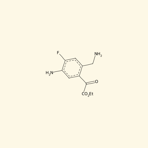 CCOC(=O)C(=O)c1cc(N)c(F)cc1CN